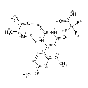 COc1ccc(-c2cc(=O)[nH]c(=S)n2CCN[C@@H](C)C(N)=O)c(OC)c1.O=C(O)C(F)(F)F